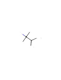 CCCCC(C(C)CCC)C(C)(C)N